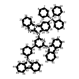 c1ccc([Si](c2ccccc2)(c2ccccc2)c2ccc3c(c2)n2c4ccccc4nc2n3-c2cc(-c3cccc(-n4c5ccccc5c5ccccc54)c3)cc(-n3c4ccccc4c4ccccc43)n2)cc1